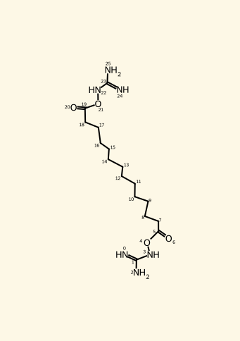 N=C(N)NOC(=O)CCCCCCCCCCCCC(=O)ONC(=N)N